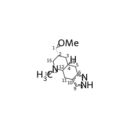 COC[C@@H]1C[C@@H]2Cc3n[nH]cc3CC2N(C)C1